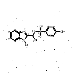 CCC(NS(=O)(=O)c1ccc(Cl)cc1)c1nc2ccccc2n1CC